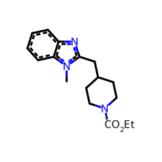 CCOC(=O)N1CCC(Cc2nc3ccccc3n2C)CC1